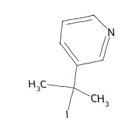 CC(C)(I)c1cccnc1